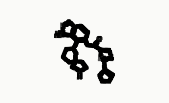 O=C(Cc1ccc2cn[nH]c2c1C1CCCC2(CCNC2)C1)c1csc(C2=CC=CC2)n1